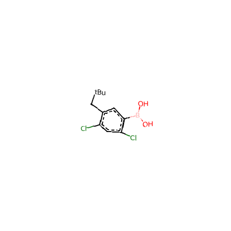 CC(C)(C)Cc1cc(B(O)O)c(Cl)cc1Cl